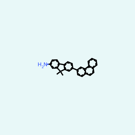 CC1(C)c2cc(N)ccc2-c2ccc(-c3ccc4ccc5ccccc5c4c3)cc21